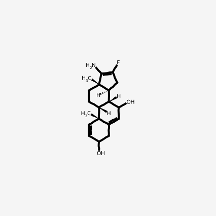 C[C@]12C=CC(O)CC1=CC(O)[C@@H]1[C@H]2CC[C@]2(C)C(N)=C(F)C[C@@H]12